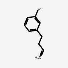 C=CCCc1cccc(C(C)C)c1